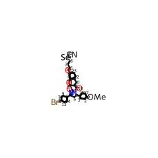 COc1ccc(C2CC(c3ccc(Br)cc3)=NN2C(=O)C2Cc3ccc(OCCC[Se]C#N)cc3OC2=O)cc1